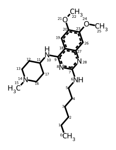 CCCCCCNc1nc(NC2CCN(C)CC2)c2cc(OC)c(OC)cc2n1